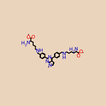 COC(=O)C(N)CCCCNCc1ccc(-c2nc(-c3ccc(CNCCCCC(N)C(=O)OC)cc3)c3ccn(C)c3n2)cc1